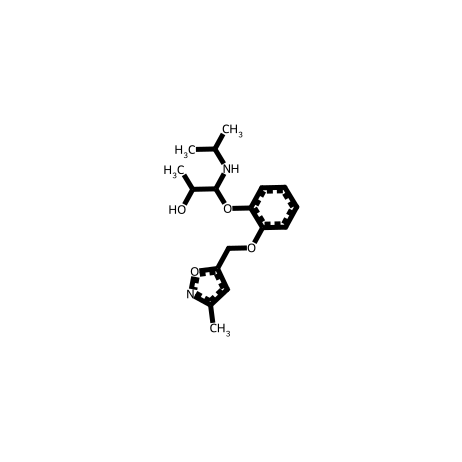 Cc1cc(COc2ccccc2OC(NC(C)C)C(C)O)on1